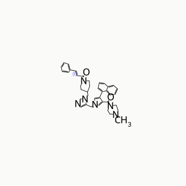 CN1CCN(C(=O)c2cn(Cc3cncn3CC3CCN(C(=O)/C=C/c4ccccc4)CC3)cc2-c2cccc3ccccc23)CC1